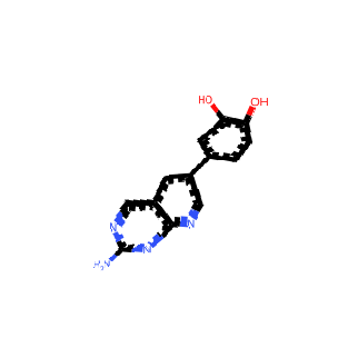 Nc1ncc2cc(-c3ccc(O)c(O)c3)cnc2n1